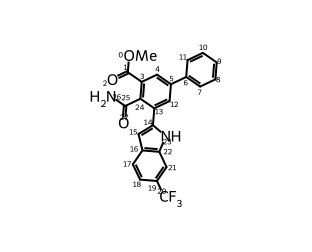 COC(=O)c1cc(-c2ccccc2)cc(-c2cc3ccc(C(F)(F)F)cc3[nH]2)c1C(N)=O